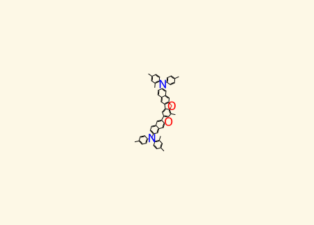 Cc1ccc(N(c2ccc3cc4c(cc3c2)oc2c(C)c3oc5cc6cc(N(c7ccc(C)cc7)c7ccc(C)cc7C)ccc6cc5c3cc24)c2ccc(C)cc2C)cc1